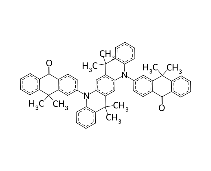 CC1(C)c2ccccc2C(=O)c2ccc(N3c4ccccc4C(C)(C)c4cc5c(cc43)C(C)(C)c3ccccc3N5c3ccc4c(c3)C(C)(C)c3ccccc3C4=O)cc21